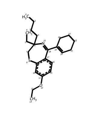 CCCCC1(CC)CSc2cc(OCC)ccc2C(C2=CCCCC2)=N1